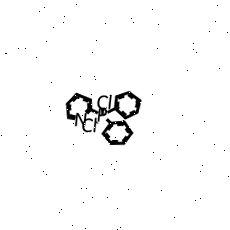 ClP(Cl)(c1ccccc1)(c1ccccc1)c1ccccn1